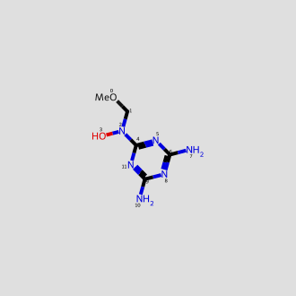 COCN(O)c1nc(N)nc(N)n1